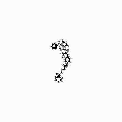 CC1OC(C)N(S(=O)(=O)c2ccccc2)[C@@H]1C(=O)N[C@@H](Cc1ccc(NC(=O)CCCNC2=NCCCN2)cc1)C(=O)O